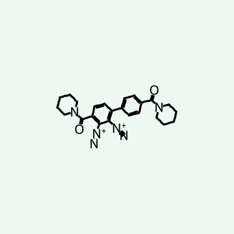 N#[N+]c1c(C(=O)N2CCCCC2)ccc(-c2ccc(C(=O)N3CCCCC3)cc2)c1[N+]#N